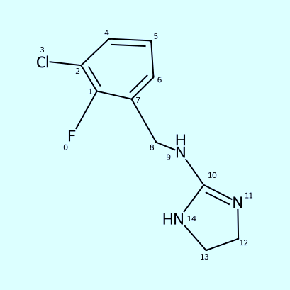 Fc1c(Cl)cccc1CNC1=NCCN1